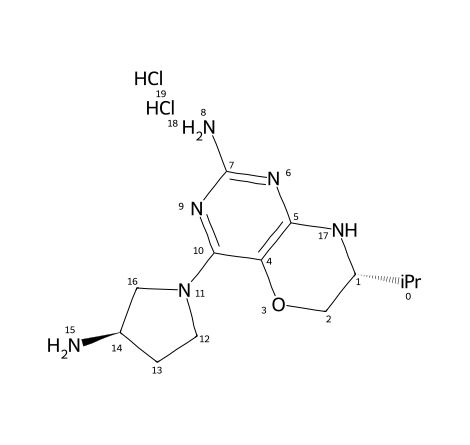 CC(C)[C@@H]1COc2c(nc(N)nc2N2CC[C@@H](N)C2)N1.Cl.Cl